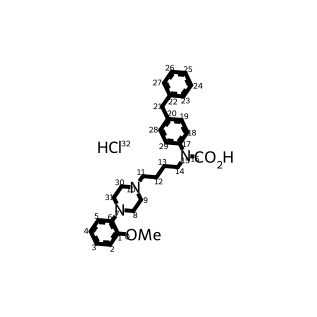 COc1ccccc1N1CCN(CCCCN(C(=O)O)c2ccc(Cc3ccccc3)cc2)CC1.Cl